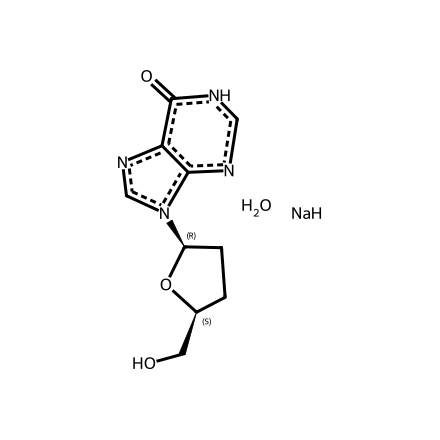 O.O=c1[nH]cnc2c1ncn2[C@H]1CC[C@@H](CO)O1.[NaH]